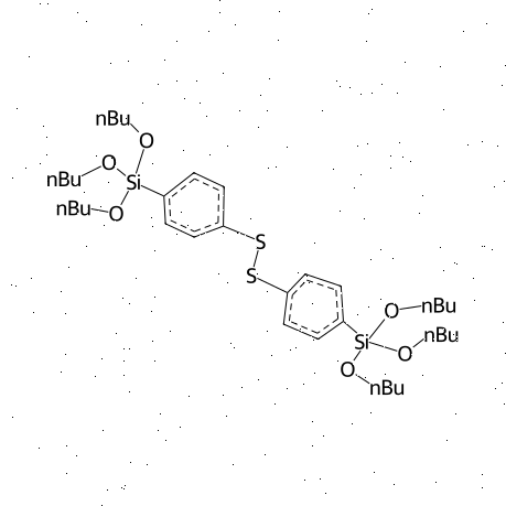 CCCCO[Si](OCCCC)(OCCCC)c1ccc(SSc2ccc([Si](OCCCC)(OCCCC)OCCCC)cc2)cc1